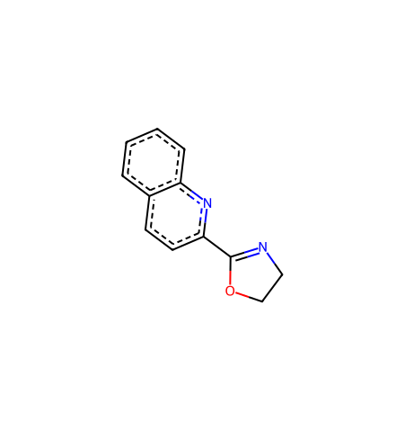 c1ccc2nc(C3=NCCO3)ccc2c1